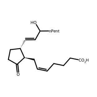 CCCCCC(O)/C=C/[C@H]1CCC(=O)[C@@H]1C/C=C\CCCC(=O)O